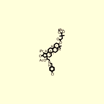 CC(=O)O[C@@H](CNCc1ccc(Cl)cc1)[C@@]12CC[C@]3(C)[C@H](CC[C@@H]4[C@@]5(C)CC[C@H](OC(=O)CC(C)(C)C(=O)OC(C)(C)C)C(C)(C)[C@@H]5CC[C@]43C)C1=C(C(C)C)C(=O)C2